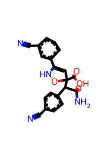 N#Cc1ccc(C(C(N)=O)C2(C(=O)O)C=C(c3cccc(C#N)c3)NO2)cc1